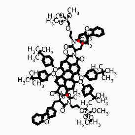 CO[Si](COCCN(C(=O)C(Cc1ccc2oc3ccccc3c2c1)N1C(=O)c2cc(Oc3ccc(C(C)(C)C)cc3)c3c4c(Oc5ccc(C(C)(C)C)cc5)cc5c6c(cc(Oc7ccc(C(C)(C)C)cc7)c(c7c(Oc8ccc(C(C)(C)C)cc8)cc(c2c37)C1=O)c64)C(=O)N(C(Cc1ccc2oc3ccccc3c2c1)C(=O)N(CCOC[Si](OC)(OC)OC)C(C)C)C5=O)C(C)C)(OC)OC